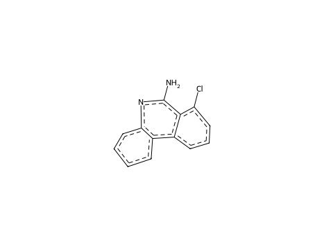 Nc1nc2ccccc2c2cccc(Cl)c12